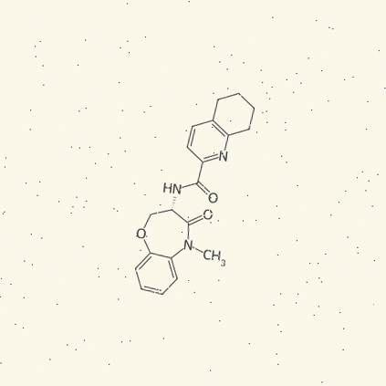 CN1C(=O)[C@@H](NC(=O)c2ccc3c(n2)CCCC3)COc2ccccc21